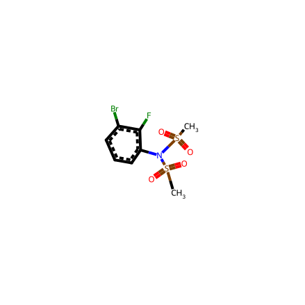 CS(=O)(=O)N(c1cccc(Br)c1F)S(C)(=O)=O